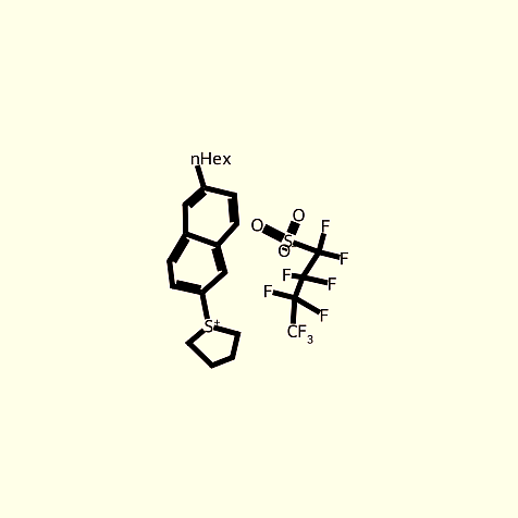 CCCCCCc1ccc2cc([S+]3CCCC3)ccc2c1.O=S(=O)([O-])C(F)(F)C(F)(F)C(F)(F)C(F)(F)F